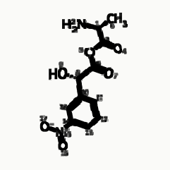 C[C@H](N)C(=O)OC(=O)[C@@H](O)c1cccc([N+](=O)[O-])c1